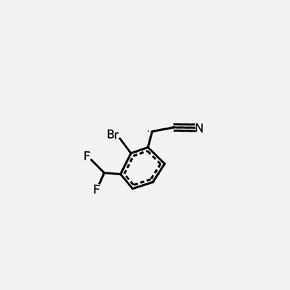 N#C[CH]c1cccc(C(F)F)c1Br